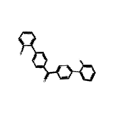 O=C(c1ccc(-c2ccccc2F)cc1)c1ccc(-c2ccccc2F)cc1